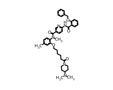 Cc1ccc(N(C)C(=O)c2ccc(NC(=O)c3ccccc3OCc3ccccc3)nc2)c(OCCCCCC(=O)N2CCC(N(C)C)CC2)c1